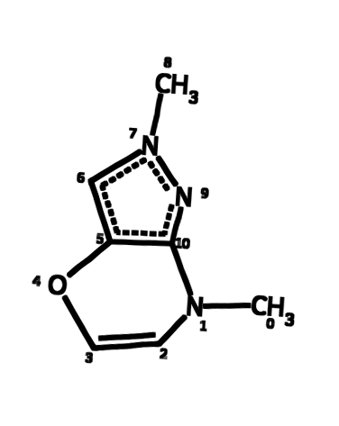 CN1C=COc2cn(C)nc21